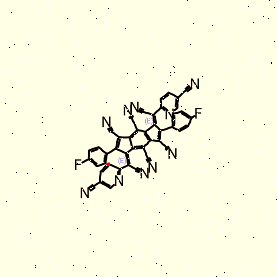 N#CC1=C(c2ccc(F)cc2)/C(=C(/C#N)c2ccc(C#N)cn2)c2c(C#N)c3c(c(C#N)c21)/C(=C(\C#N)c1ccc(C#N)cn1)C(c1ccc(F)cc1)=C3C#N